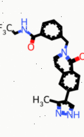 Cc1n[nH]cc1-c1ccc2c(=O)n(Cc3cccc(C(=O)NCC(F)(F)F)c3)ccc2c1